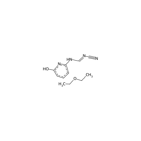 CCOCC.N#C/N=C/Nc1cccc(O)n1